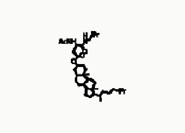 CC(=O)N[C@H](CC(=O)O[C@H]1CC[C@@]2(C)C(CCC3C2CC[C@@]2(C)C3CC[C@@H]2C(C)CCCC(C)C)C1)C(=O)NCC(C)C